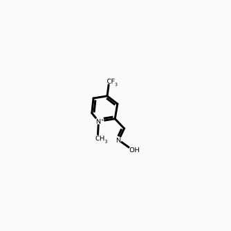 C[n+]1ccc(C(F)(F)F)cc1/C=N/O